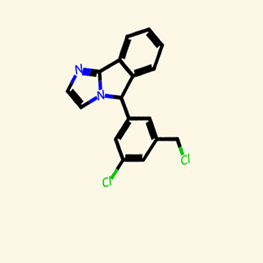 ClCc1cc(Cl)cc(C2c3ccccc3-c3nccn32)c1